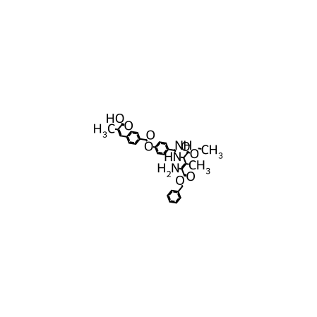 CCOC(=O)C(NC(=N)c1ccc(OC(=O)c2ccc(C=C(C)C(=O)O)cc2)cc1)C(C)=C(N)C(=O)OCc1ccccc1